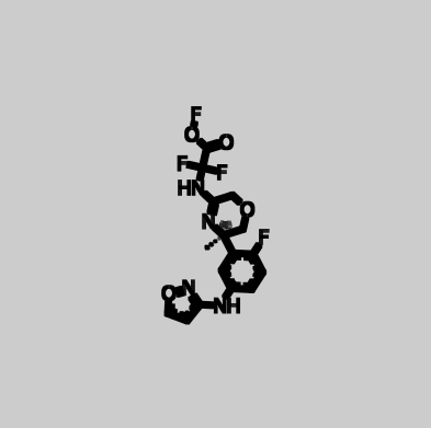 C[C@@]1(c2cc(Nc3ccon3)ccc2F)COCC(NC(F)(F)C(=O)OF)=N1